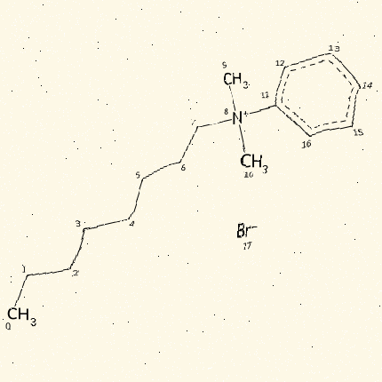 CCCCCCCC[N+](C)(C)c1ccccc1.[Br-]